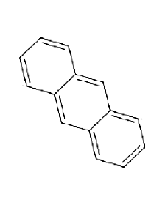 [c]1cccc2cc3[c]cccc3cc12